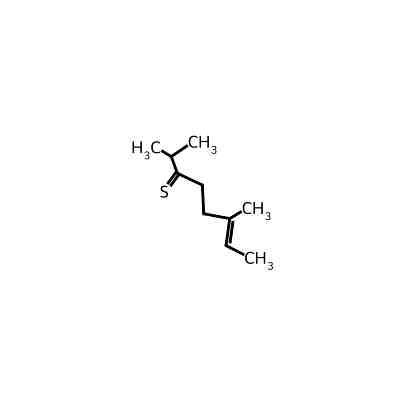 C/C=C(\C)CCC(=S)C(C)C